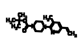 C=Cc1cnc(N2CCN(C(=O)OC(C)(C)C)CC2)c(C)c1